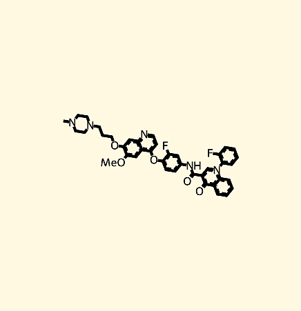 COc1cc2c(Oc3ccc(NC(=O)c4cn(-c5ccccc5F)c5ccccc5c4=O)cc3F)ccnc2cc1OCCCN1CCN(C)CC1